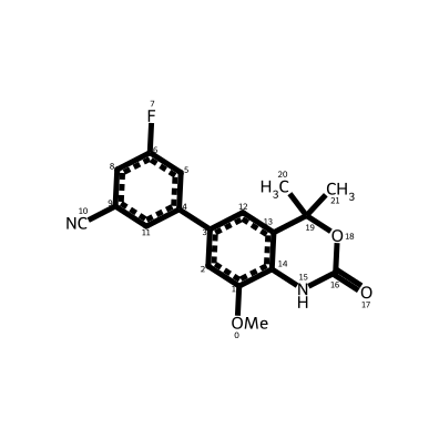 COc1cc(-c2cc(F)cc(C#N)c2)cc2c1NC(=O)OC2(C)C